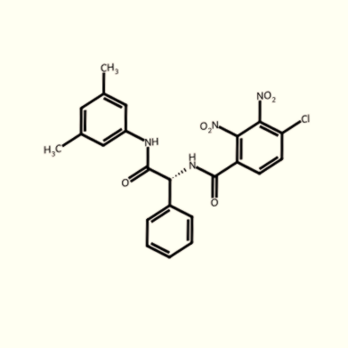 Cc1cc(C)cc(NC(=O)[C@H](NC(=O)c2ccc(Cl)c([N+](=O)[O-])c2[N+](=O)[O-])c2ccccc2)c1